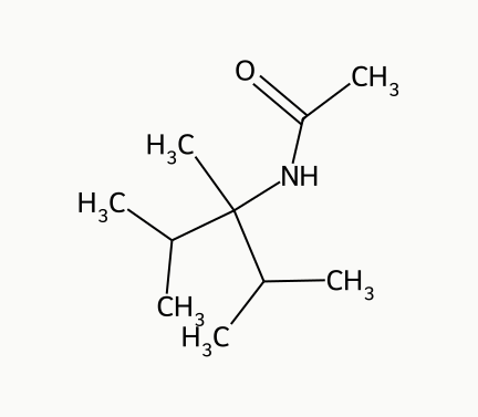 CC(=O)NC(C)(C(C)C)C(C)C